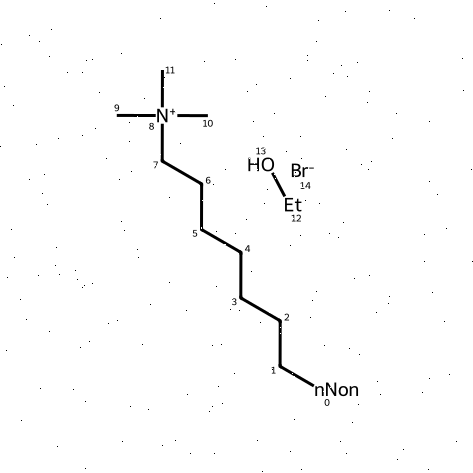 CCCCCCCCCCCCCCCC[N+](C)(C)C.CCO.[Br-]